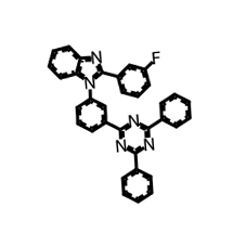 Fc1cccc(-c2nc3ccccc3n2-c2cccc(-c3nc(-c4ccccc4)nc(-c4ccccc4)n3)c2)c1